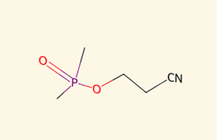 CP(C)(=O)OCCC#N